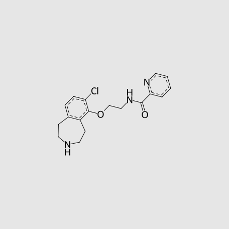 O=C(NCCOc1c(Cl)ccc2c1CCNCC2)c1ccccn1